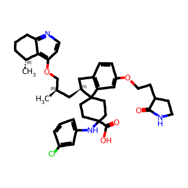 C[C@@H](COc1ccnc2c1[C@H](C)CCC2)C[C@H]1Cc2ccc(OCCC3CCNC3=O)cc2C12CCC(Nc1cccc(Cl)c1)(C(=O)O)CC2